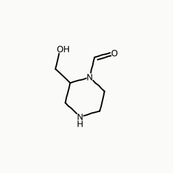 O=CN1CCNCC1CO